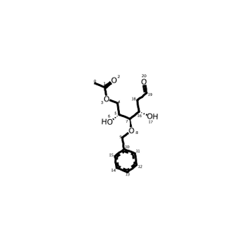 CC(=O)OC[C@@H](O)[C@H](OCc1ccccc1)[C@@H](O)CC=O